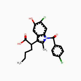 CCCCC(C(=O)O)c1c(C)n(C(=O)c2ccc(Br)cc2)c2cc(Cl)c(O)cc12